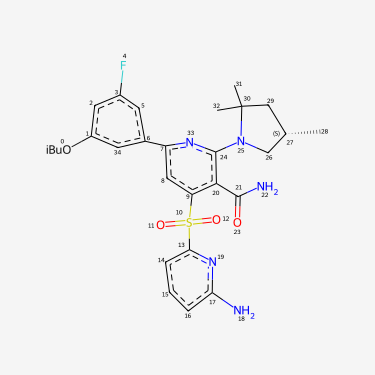 CC(C)COc1cc(F)cc(-c2cc(S(=O)(=O)c3cccc(N)n3)c(C(N)=O)c(N3C[C@@H](C)CC3(C)C)n2)c1